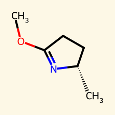 COC1=N[C@@H](C)CC1